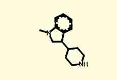 CN1CC(C2CCNCC2)c2ccccc21